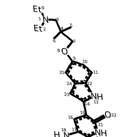 CCN(CC)CC(C)(C)COc1ccc2[nH]c(-c3cc(N)c[nH]c3=O)cc2c1